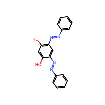 Oc1cc(O)c(N=Nc2ccccc2)cc1N=Nc1ccccc1